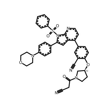 N#CCC(=O)N1CC[C@H](Oc2ccc(-c3ccnc4c3cc(-c3ccc(N5CCOCC5)cc3)n4S(=O)(=O)c3ccccc3)cc2C#N)C1